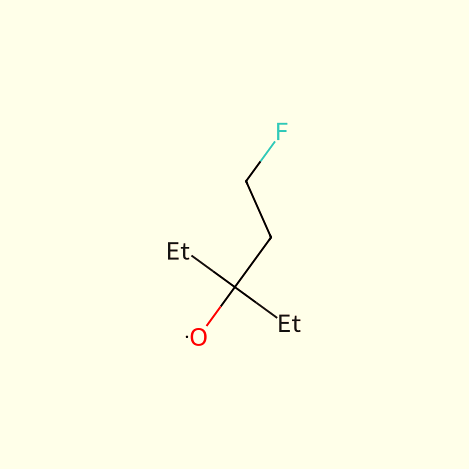 CCC([O])(CC)CCF